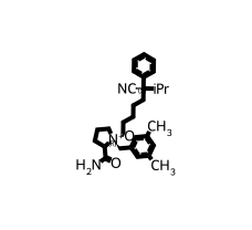 Cc1cc(C)cc(C[N@+]2(C(=O)CCCC[C@@](C#N)(c3ccccc3)C(C)C)CCCC2C(N)=O)c1